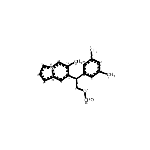 Cc1cc(C)cc(C(COC=O)c2cc3cccn3cc2C)c1